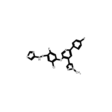 Cn1cc(-c2cc(-c3ccc(F)cc3)ncc2Oc2cc(F)c(SNc3cscn3)cc2Cl)cn1